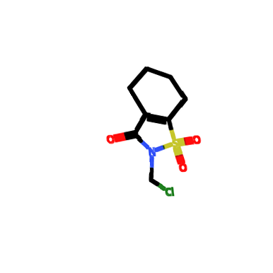 O=C1C2=C(CCCC2)S(=O)(=O)N1CCl